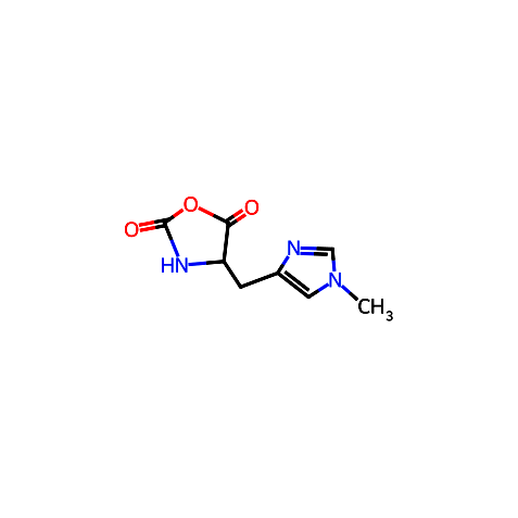 Cn1cnc(CC2NC(=O)OC2=O)c1